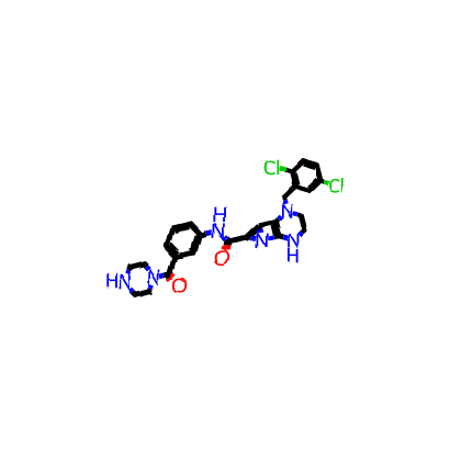 O=C(Nc1cccc(C(=O)N2CCNCC2)c1)c1c2c3c(n1-2)NCCN3Cc1cc(Cl)ccc1Cl